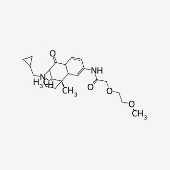 COCCOCC(=O)NC1=CC2C(C=C1)C(=O)C1[C@H](C)[C@@]2(C)CCN1CC1CC1